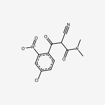 CN(C)C(=O)C(C#N)C(=O)c1ccc(Cl)cc1[N+](=O)[O-]